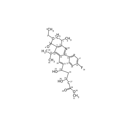 CCOC(=O)c1c(C(C)C)nc(-c2ccc(F)cc2)c(C=CC(O)CC(O)CC(=O)OC)c1C(C)C